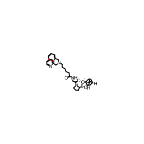 CC1(C)C2C[C@H]1C[C@H]1OB(C3CCCN3C(=O)CNC(=O)CCCCCN(Cc3ccccn3)Cc3ccccn3)O[C@@]21C